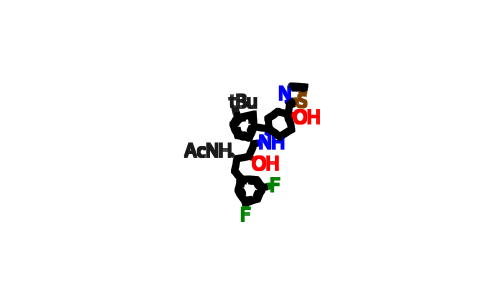 CC(=O)N[C@@H](Cc1cc(F)cc(F)c1)[C@H](O)CNC1(c2cccc(C(C)(C)C)c2)CCC(O)(c2nccs2)CC1